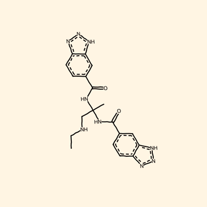 CCNCC(C)(NC(=O)c1ccc2nn[nH]c2c1)NC(=O)c1ccc2nn[nH]c2c1